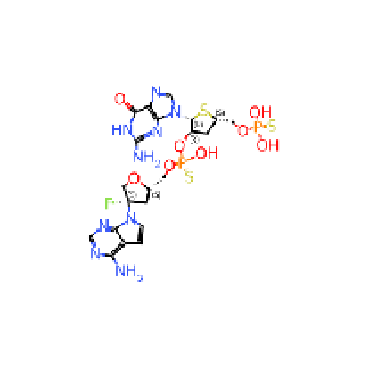 Nc1nc2c(ncn2[C@@H]2S[C@H](COP(O)(O)=S)C[C@H]2OP(O)(=S)OC[C@@H]2C[C@@](F)(n3ccc4c(N)ncnc43)CO2)c(=O)[nH]1